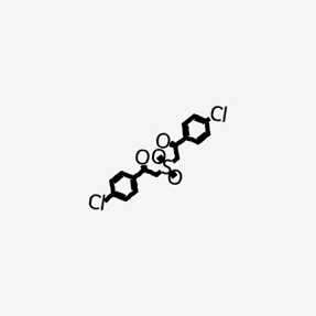 O=C(CS(=O)(=O)CC(=O)c1ccc(Cl)cc1)c1ccc(Cl)cc1